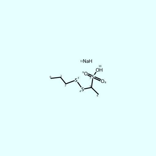 CCCSSC(C)S(=O)(=O)O.[NaH]